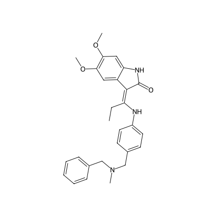 CC/C(Nc1ccc(CN(C)Cc2ccccc2)cc1)=C1/C(=O)Nc2cc(OC)c(OC)cc21